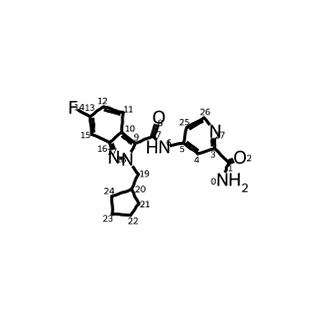 NC(=O)c1cc(NC(=O)c2c3ccc(F)cc3nn2CC2CCCC2)ccn1